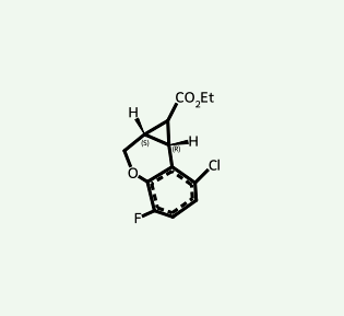 CCOC(=O)C1[C@H]2COc3c(F)ccc(Cl)c3[C@@H]12